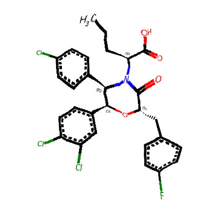 CCC[C@@H](C(=O)O)N1C(=O)[C@H](Cc2ccc(F)cc2)O[C@@H](c2ccc(Cl)c(Cl)c2)[C@H]1c1ccc(Cl)cc1